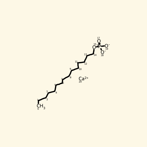 CCCCCCCCCCCCCCCOP(=O)([O-])[O-].[Ca+2]